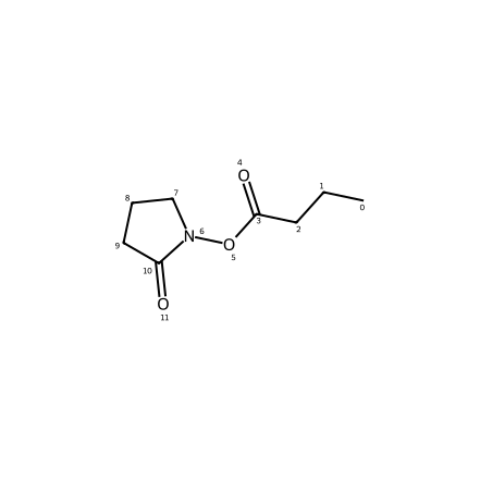 CCCC(=O)ON1CCCC1=O